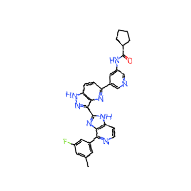 Cc1cc(F)cc(-c2nccc3[nH]c(-c4n[nH]c5ccc(-c6cncc(NC(=O)C7CCCC7)c6)nc45)nc23)c1